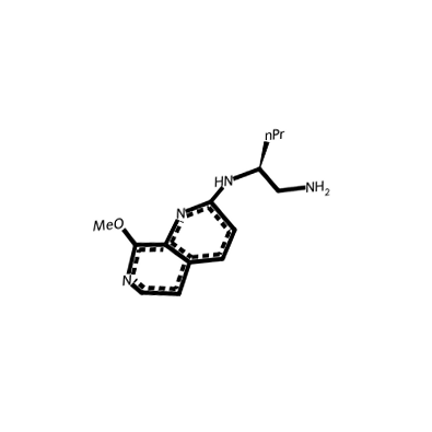 CCC[C@@H](CN)Nc1ccc2ccnc(OC)c2n1